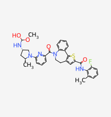 COC(O)N[C@H]1C[C@H](C)N(c2cccc(C(=O)N3CCc4cc(C(=O)Nc5c(C)cccc5F)sc4-c4ccccc43)n2)C1